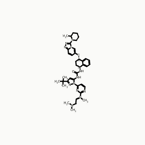 CC1CCCCN1c1nnc2ccc(O[C@@H]3CC[C@H](NC(=O)Nc4cc(C(C)(C)C)nn4-c4ccnc(N(C)CCN(C)C)n4)c4ccccc43)cn12